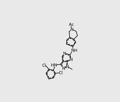 CC(=O)N1CCc2cc(Nc3ncc4c(Nc5c(Cl)cccc5Cl)nn(C)c4n3)ccc2C1